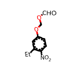 CCc1cc(OCOC=O)ccc1[N+](=O)[O-]